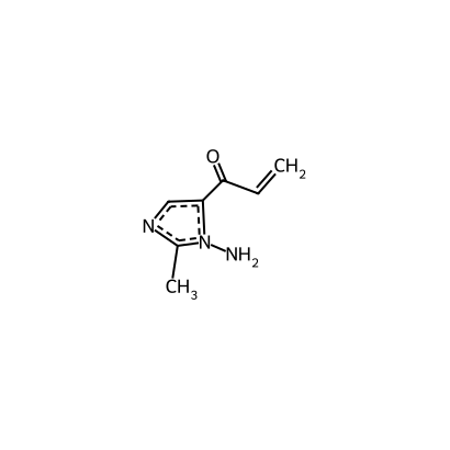 C=CC(=O)c1cnc(C)n1N